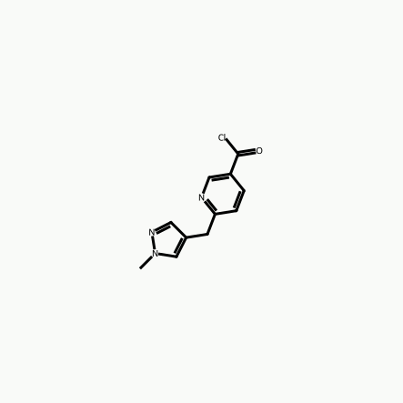 Cn1cc(Cc2ccc(C(=O)Cl)cn2)cn1